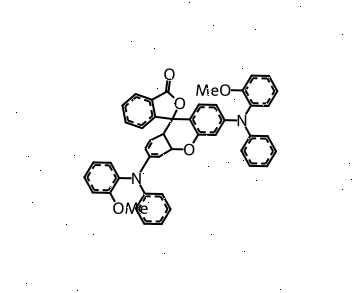 COc1ccccc1N(C1=CC2Oc3cc(N(c4ccccc4)c4ccccc4OC)ccc3C3(OC(=O)c4ccccc43)C2C=C1)c1ccccc1